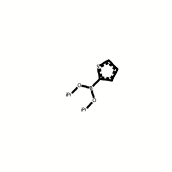 CC(C)OB(OC(C)C)c1cccs1